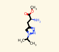 COC(=O)[C@@H](N)Cc1cn(C(C)C)nn1